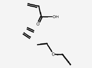 C=C.C=C.C=CC(=O)O.CCOCC